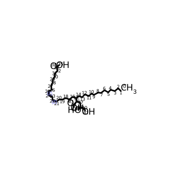 CCCCCCCCCCCCCCCC(CCCCC/C=C\C/C=C\CCCCCCCC(=O)O)C(CC(O)CO)C(=O)O